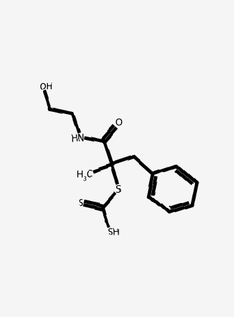 CC(Cc1ccccc1)(SC(=S)S)C(=O)NCCO